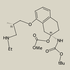 CCNC[C@H](C)COc1cccc2c1C[C@](NC(=O)OC(C)(C)C)(OC(=O)OC)CC2